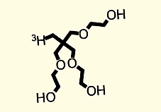 [3H]CC(COCCO)(COCCO)COCCO